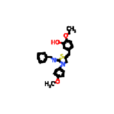 CCOc1ccc(/C=C2/CN(c3ccc(OC)cc3)/C(=N/Cc3ccccc3)S2)cc1O